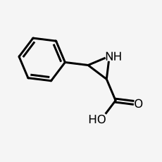 O=C(O)C1NC1c1ccccc1